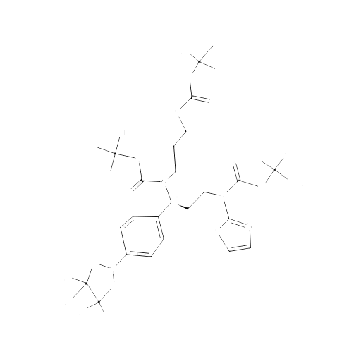 CC(C)(C)OC(=O)NCCCN(C(=O)OC(C)(C)C)[C@@H](CCN(C(=O)OC(C)(C)C)c1nccs1)c1ccc(B2OC(C)(C)C(C)(C)O2)cc1